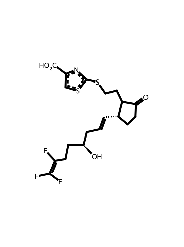 O=C(O)c1csc(SCCC2C(=O)CC[C@@H]2/C=C/C[C@@H](O)CCC(F)=C(F)F)n1